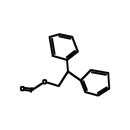 O=POCC(c1ccccc1)c1ccccc1